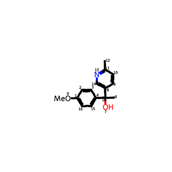 COc1ccc(C(C)(O)c2ccc(C)nc2)cc1